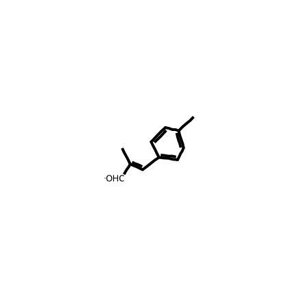 CC([C]=O)=Cc1ccc(C)cc1